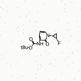 CC(C)(C)OC(=O)Nc1cccn([C@H]2C[C@H]2F)c1=O